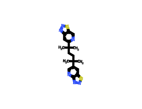 CC(C)(CCC(C)(C)c1cc2nnsc2cn1)c1cnc2nnsc2c1